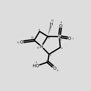 O=C(O)C1CS(=O)(=O)[C@@H]2CC(=O)N12